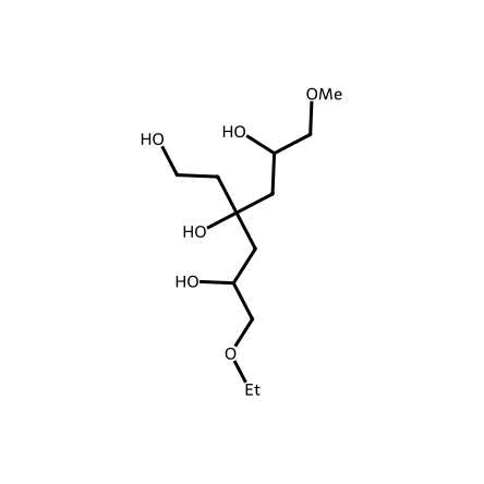 CCOCC(O)CC(O)(CCO)CC(O)COC